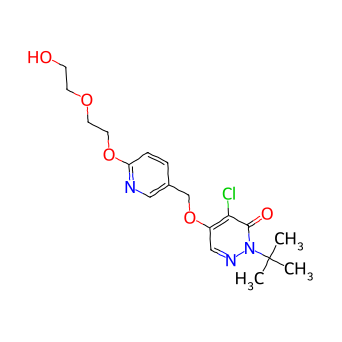 CC(C)(C)n1ncc(OCc2ccc(OCCOCCO)nc2)c(Cl)c1=O